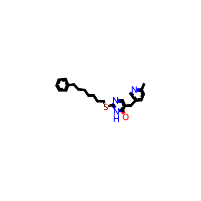 Cc1ccc(Cc2cnc(SCCCCCCCc3ccccc3)[nH]c2=O)cn1